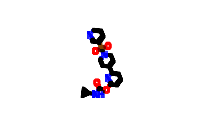 O=C(NC1CC1)Oc1cccc(C2=CCN(S(=O)(=O)c3cccnc3)CC2)n1